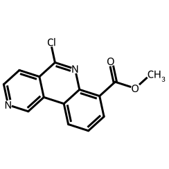 COC(=O)c1cccc2c1nc(Cl)c1ccncc12